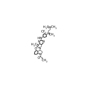 C=CC(=O)N1CCC(N2Cc3cnc(Nc4ccc(N(C)CCN(C)C)c(C(F)(F)F)c4)nc3N(C)C2=O)c2ccccc21